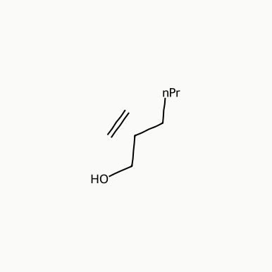 C=C.CCCCCCO